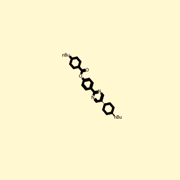 CCCCC1CCC(C(=O)Oc2ccc(-c3ncc([C@H]4CC[C@H](CCCC)CC4)cn3)cc2)CC1